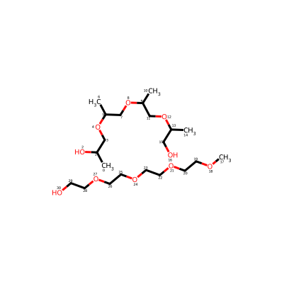 CC(O)COC(C)COC(C)COC(C)CO.COCCOCCOCCOCCO